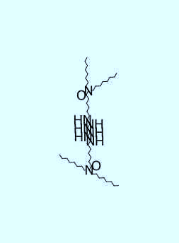 CCCCCCCCN(CCCCCCCC)C(=O)CCCCCNNNNNNCCCCCC(=O)N(CCCCCCCC)CCCCCCCC